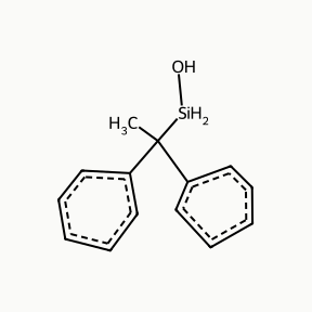 CC([SiH2]O)(c1ccccc1)c1ccccc1